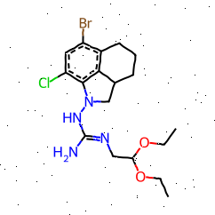 CCOC(CN=C(N)NN1CC2CCCc3c(Br)cc(Cl)c1c32)OCC